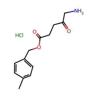 Cc1ccc(COC(=O)CCC(=O)CN)cc1.Cl